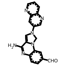 NC1=Nc2ccc(C=O)cc2N2CN(c3cnc4cccnc4c3)C=C12